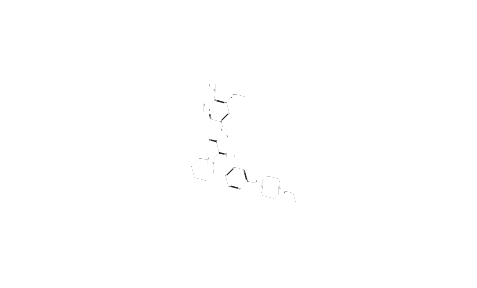 CCc1cc(NC(=O)C(=O)N2C[C@H](C)CC[C@H]2c2ccc(N3CCN(CC)CC3)cc2)cnc1N